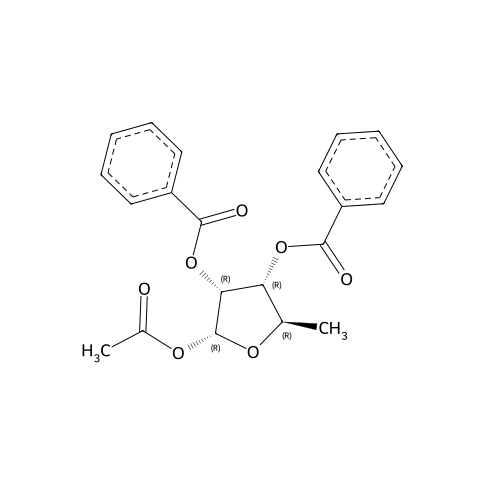 CC(=O)O[C@H]1O[C@H](C)[C@@H](OC(=O)c2ccccc2)[C@H]1OC(=O)c1ccccc1